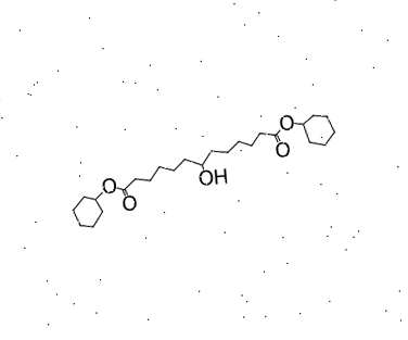 O=C(CCCCCC(O)CCCCCC(=O)OC1CCCCC1)OC1CCCCC1